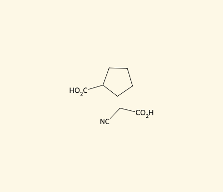 N#CCC(=O)O.O=C(O)C1CCCC1